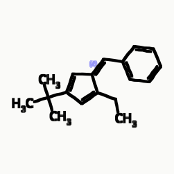 CCC1=CC(C(C)(C)C)=C/C1=C/c1ccccc1